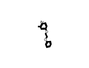 CC(=O)c1ccc(OCCOc2ccccc2)cc1C